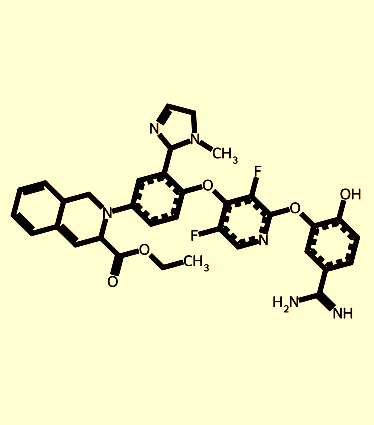 CCOC(=O)C1C=C2C=CC=CC2CN1c1ccc(Oc2c(F)cnc(Oc3cc(C(=N)N)ccc3O)c2F)c(C2N=CCN2C)c1